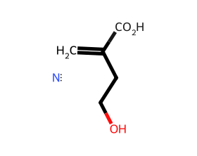 C=C(CCO)C(=O)O.[N]